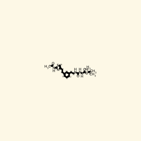 CC(=O)Nc1nc(CCc2cccc(CCNC(=O)NNC(=O)OC(C)(C)C)c2)cs1